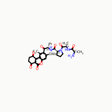 COc1cc2oc(=O)c3c(c2c(C(F)(F)F)c1C(=O)[C@@H](NC(=O)[C@@H]1CCCN1C(=O)[C@H](C)NC(=O)[C@H](C)N)C(C)C)C(=O)CCC3=O